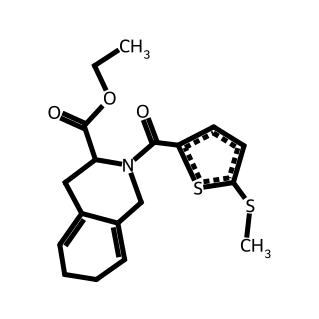 CCOC(=O)C1CC2=CCCC=C2CN1C(=O)c1ccc(SC)s1